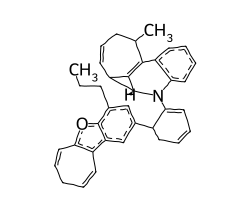 CCCc1cc(C2CC=CC=C2N2c3ccccc3C3=C4C(C=CCC3C)[C@H]42)cc2c3c(oc12)C=CCC=C3